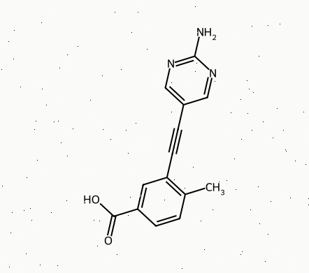 Cc1ccc(C(=O)O)cc1C#Cc1cnc(N)nc1